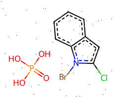 Clc1cc2ccccc2n1Br.O=P(O)(O)O